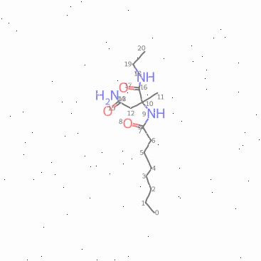 CCCCCCCC(=O)NC(C)(CC(N)=O)C(=O)NCC